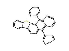 c1ccc(-c2c3ccccc3c(-c3ccccc3)c3c2ccc2c4ccccc4sc23)cc1